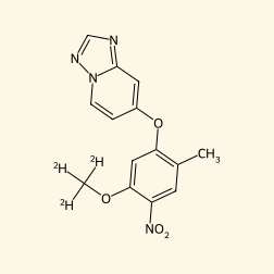 [2H]C([2H])([2H])Oc1cc(Oc2ccn3ncnc3c2)c(C)cc1[N+](=O)[O-]